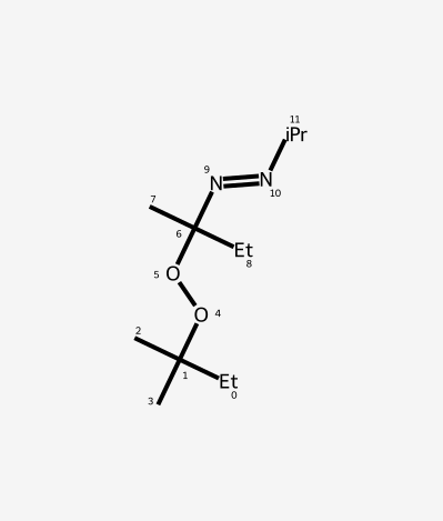 CCC(C)(C)OOC(C)(CC)/N=N/C(C)C